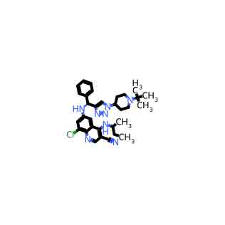 CCC(C)Nc1c(C#N)cnc2c(Cl)cc(N[C@@H](c3ccccc3)c3cn(C4CCN(C(C)(C)C)CC4)nn3)cc12